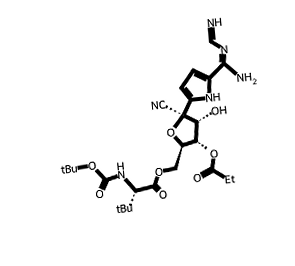 CCC(=O)O[C@H]1[C@@H](O)[C@](C#N)(c2ccc(/C(N)=N\C=N)[nH]2)O[C@@H]1COC(=O)[C@@H](NC(=O)OC(C)(C)C)C(C)(C)C